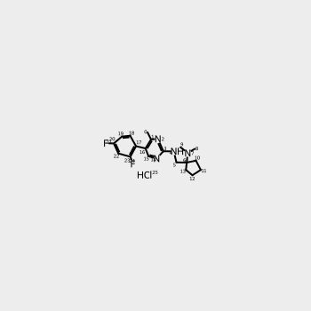 Cc1nc(NCC2(N(C)C)CCCC2)ncc1-c1ccc(F)cc1F.Cl